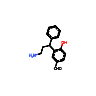 NCCC(c1ccccc1)c1cc(C=O)ccc1O